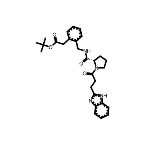 CC(C)(C)OC(=O)Cc1ccccc1CNC(=O)[C@@H]1CCCN1C(=O)CCc1nc2ccccc2[nH]1